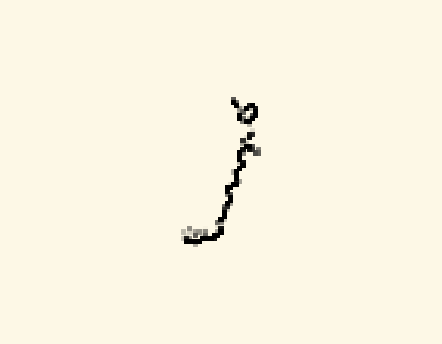 CCCCC/C=C\C/C=C\CCCCCCCCCC(=O)OC[C@H]1CCN(C)C1